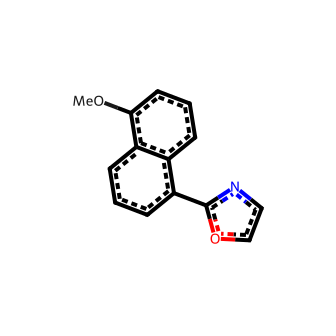 COc1cccc2c(-c3ncco3)cccc12